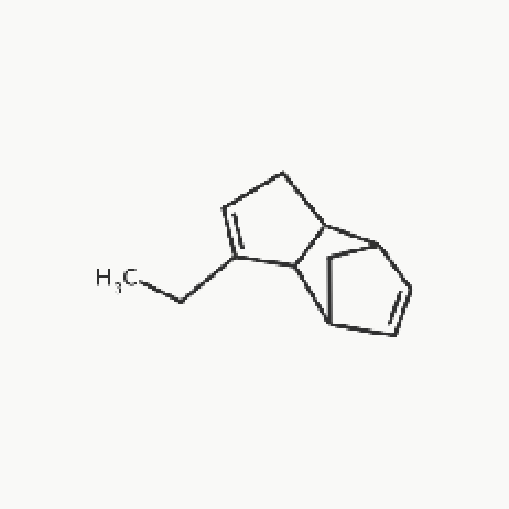 CCC1=CCC2C3C=CC(C3)C12